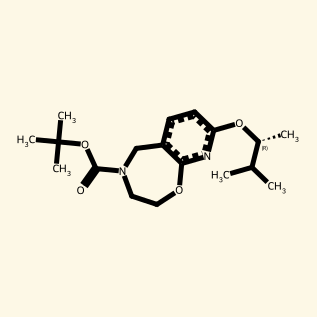 CC(C)[C@@H](C)Oc1ccc2c(n1)OCCN(C(=O)OC(C)(C)C)C2